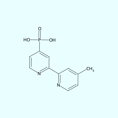 Cc1ccnc(-c2cc(P(=O)(O)O)ccn2)c1